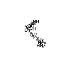 COC(=O)[C@H](CCO[C@H]1C[C@H](CCc2ccc3c(n2)NCCC3)C1)NC(=O)OC1(C)CNC1